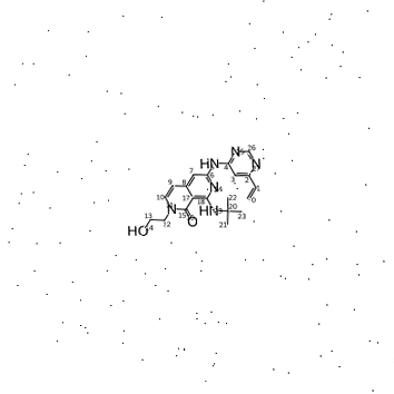 C=Cc1cc(Nc2cc3ccn(CCO)c(=O)c3c(NC(C)(C)C)n2)ncn1